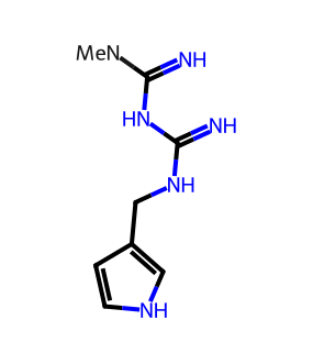 CNC(=N)NC(=N)NCc1cc[nH]c1